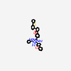 c1ccc(C2NC(c3ccc4c(c3)oc3ccccc34)NC(c3ccc4c(c3)oc3c(-c5cccc6c5sc5ccccc56)cccc34)N2)cc1